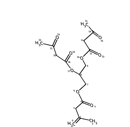 C=C(C)CC(=O)OCC(COC(=O)CC(C)=O)OC(=O)CC(C)=O